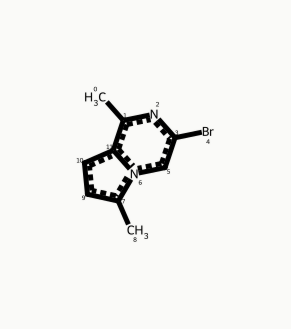 Cc1nc(Br)cn2c(C)ccc12